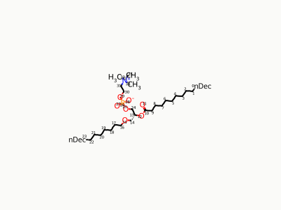 CCCCCCCCCCCCCCCCCCCC(=O)O[C@H](COCCCCCCCCCCCCCCCCC)COP(=O)([O-])OCC[N+](C)(C)C